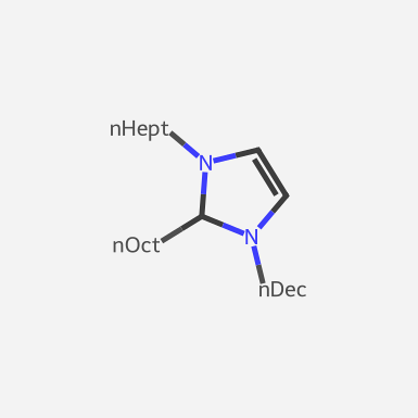 CCCCCCCCCCN1C=CN(CCCCCCC)C1CCCCCCCC